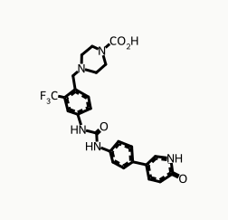 O=C(Nc1ccc(-c2ccc(=O)[nH]c2)cc1)Nc1ccc(CN2CCN(C(=O)O)CC2)c(C(F)(F)F)c1